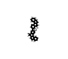 CC1(C)c2cc3c(cc2-c2c1ccc1ccccc21)oc1c2c(ccc13)-c1c(ccc3ccccc13)C2(C)C